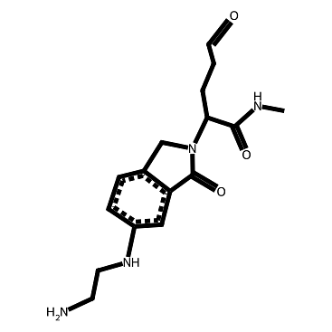 CNC(=O)C(CCC=O)N1Cc2ccc(NCCN)cc2C1=O